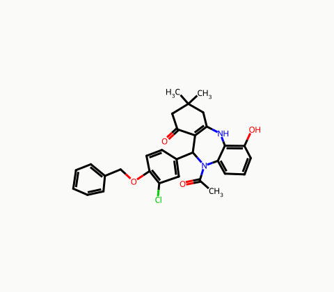 CC(=O)N1c2cccc(O)c2NC2=C(C(=O)CC(C)(C)C2)C1c1ccc(OCc2ccccc2)c(Cl)c1